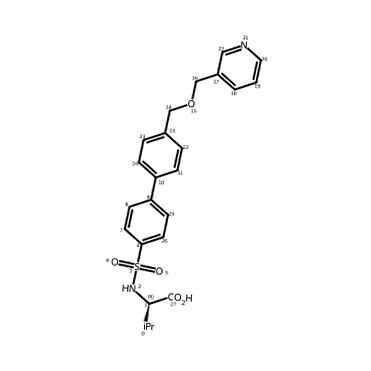 CC(C)[C@@H](NS(=O)(=O)c1ccc(-c2ccc(COCc3cccnc3)cc2)cc1)C(=O)O